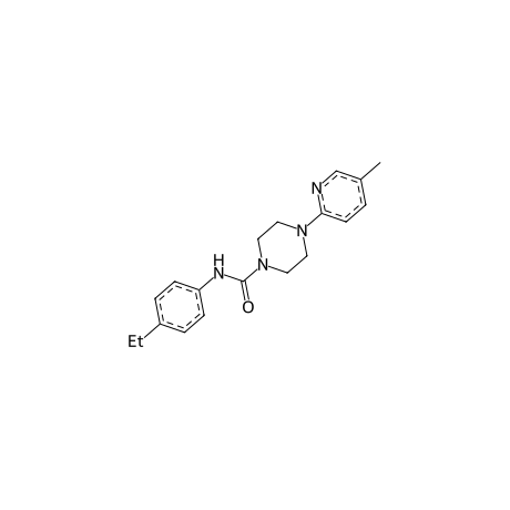 CCc1ccc(NC(=O)N2CCN(c3ccc(C)cn3)CC2)cc1